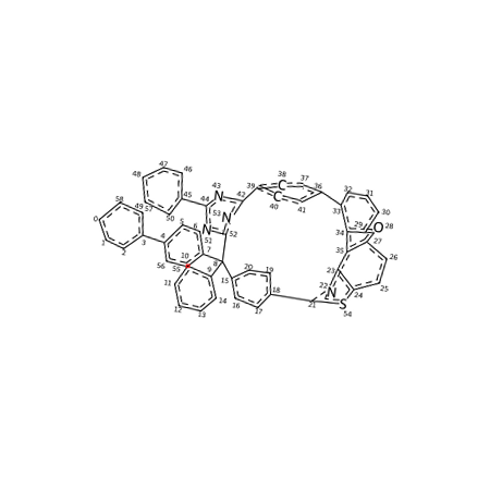 c1ccc(-c2ccc(C3(c4ccccc4)c4ccc(cc4)-c4nc5c(ccc6oc7cccc(c7c65)-c5ccc(cc5)-c5nc(-c6ccccc6)nc3n5)s4)cc2)cc1